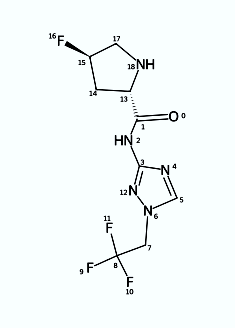 O=C(Nc1ncn(CC(F)(F)F)n1)[C@@H]1C[C@@H](F)CN1